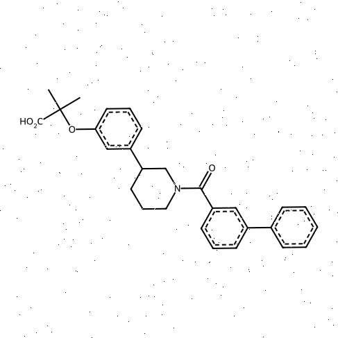 CC(C)(Oc1cccc(C2CCCN(C(=O)c3cccc(-c4ccccc4)c3)C2)c1)C(=O)O